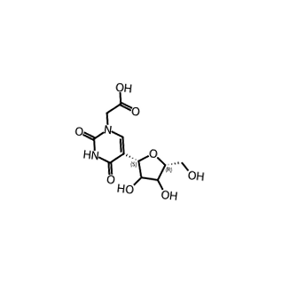 O=C(O)Cn1cc([C@@H]2O[C@H](CO)C(O)C2O)c(=O)[nH]c1=O